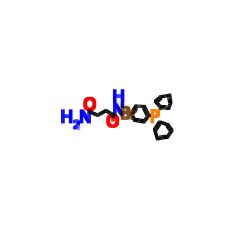 NC(=O)CCC(=O)NBr.c1ccc(P(c2ccccc2)c2ccccc2)cc1